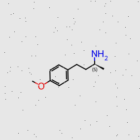 COc1ccc(CC[C@H](C)N)cc1